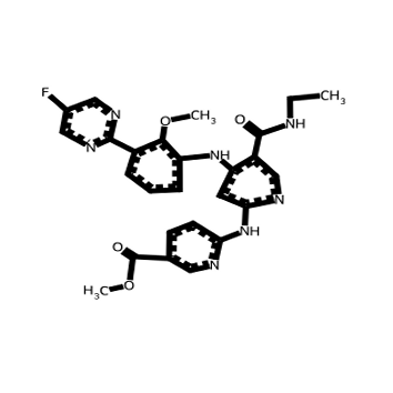 CCNC(=O)c1cnc(Nc2ccc(C(=O)OC)cn2)cc1Nc1cccc(-c2ncc(F)cn2)c1OC